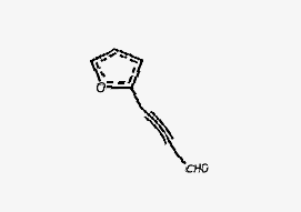 O=CC#Cc1ccco1